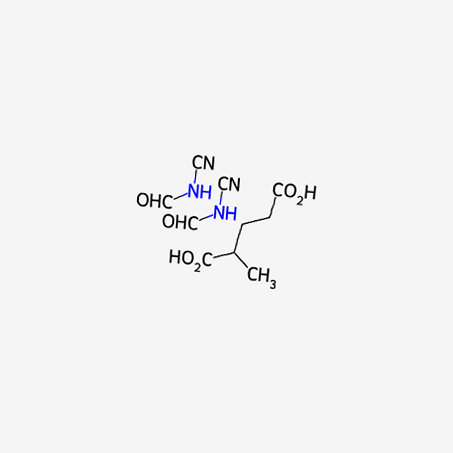 CC(CCC(=O)O)C(=O)O.N#CNC=O.N#CNC=O